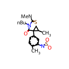 CCCCN(C(=O)C1(c2ccc(C)c(N=S(=O)=O)c2)CC1C)C(=S)NC